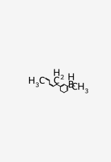 C=C(/C=C\C=C/C)C1=CC(BC)=CCC1